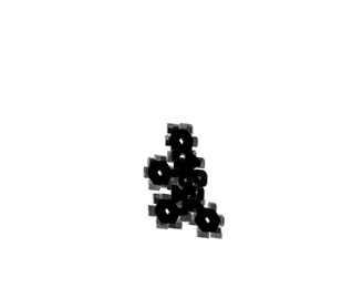 O=C(OC(=O)C1(N(Cc2ccccc2)Cc2ccccc2)CC1)C1(N(Cc2ccccc2)Cc2ccccc2)CC1